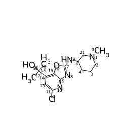 CN1CCCC(Nc2nc3nc(Cl)cc(C(C)(C)O)c3o2)C1